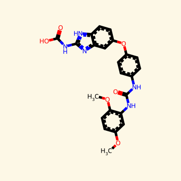 COc1ccc(OC)c(NC(=O)Nc2ccc(Oc3ccc4[nH]c(NC(=O)O)nc4c3)cc2)c1